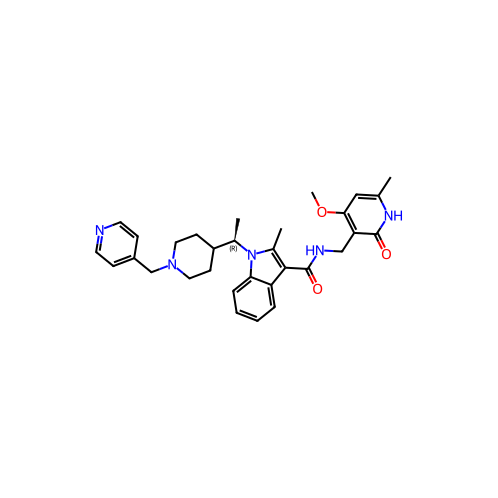 COc1cc(C)[nH]c(=O)c1CNC(=O)c1c(C)n([C@H](C)C2CCN(Cc3ccncc3)CC2)c2ccccc12